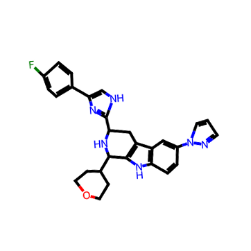 Fc1ccc(-c2c[nH]c(C3Cc4c([nH]c5ccc(-n6cccn6)cc45)C(C4CCOCC4)N3)n2)cc1